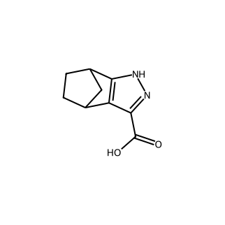 O=C(O)c1n[nH]c2c1C1CCC2C1